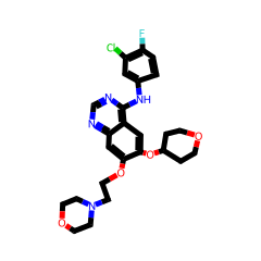 Fc1ccc(Nc2ncnc3cc(OCCN4CCOCC4)c(OC4CCOCC4)cc23)cc1Cl